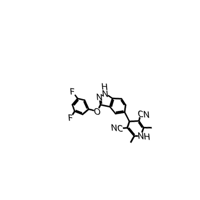 CC1=C(C#N)C(c2ccc3[nH]nc(Oc4cc(F)cc(F)c4)c3c2)C(C#N)=C(C)N1